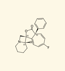 O=C1O[C@]2(CN3CCCC[C@H]32)C2=CC=C(F)C=C[C@@]12c1ccccc1